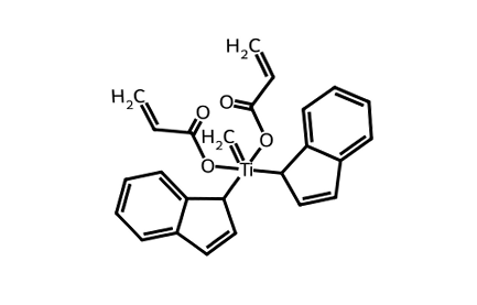 C=CC(=O)[O][Ti](=[CH2])([O]C(=O)C=C)([CH]1C=Cc2ccccc21)[CH]1C=Cc2ccccc21